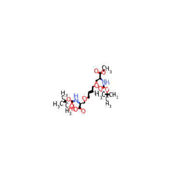 COC(=O)[C@H](COCC=CCOC[C@H](NC(=O)OC(C)(C)C)C(=O)O)NC(=O)OC(C)(C)C